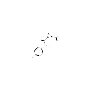 CN(C(=O)C1CC1C(=O)O)c1ccc(Cl)cc1